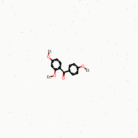 CCOc1ccc(C(=O)c2ccc(OCC)cc2OCC)cc1